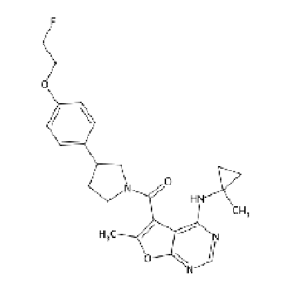 Cc1oc2ncnc(NC3(C)CC3)c2c1C(=O)N1CCC(c2ccc(OCCF)cc2)C1